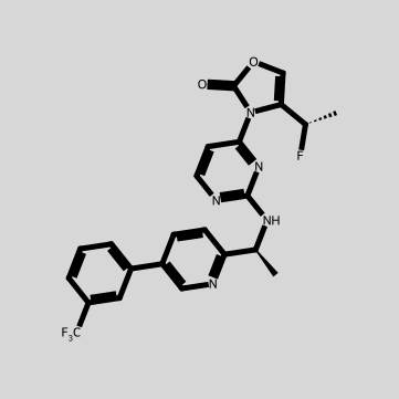 C[C@H](F)c1coc(=O)n1-c1ccnc(N[C@@H](C)c2ccc(-c3cccc(C(F)(F)F)c3)cn2)n1